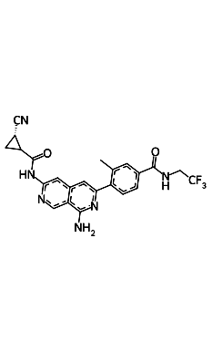 Cc1cc(C(=O)NCC(F)(F)F)ccc1-c1cc2cc(NC(=O)C3C[C@@H]3C#N)ncc2c(N)n1